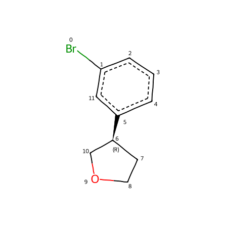 Brc1cccc([C@H]2CCOC2)c1